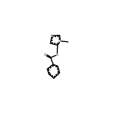 Cn1cncc1OC(=O)c1ccccc1